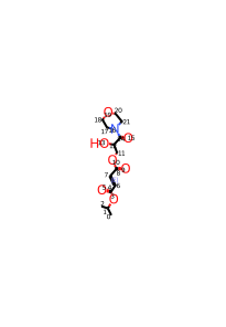 CC(C)OC(=O)/C=C/C(=O)OCC(O)C(=O)N1CCOCC1